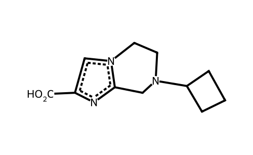 O=C(O)c1cn2c(n1)CN(C1CCC1)CC2